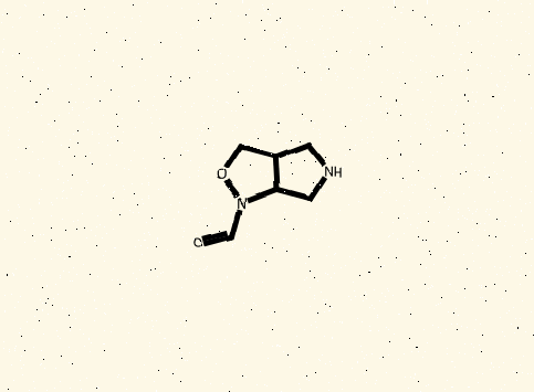 O=CN1OCC2CNCC21